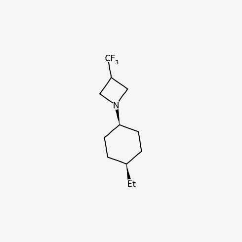 CC[C@H]1CC[C@@H](N2CC(C(F)(F)F)C2)CC1